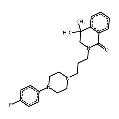 CC1(C)CN(CCCN2CCN(c3ccc(F)cc3)CC2)C(=O)c2ccccc21